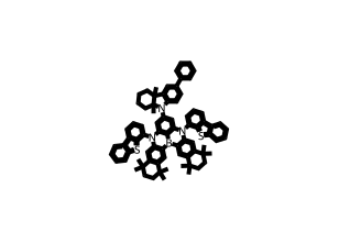 CC1(C)CCC(C)(C)c2cc3c(cc21)B1c2cc4c(cc2N(c2cccc5c2sc2ccccc25)c2cc(N5c6ccc(-c7ccccc7)cc6C6(C)CCCCC56C)cc(c21)N3c1cccc2c1sc1ccccc12)C(C)(C)CCC4(C)C